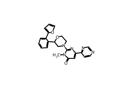 Cn1c(N2CCOC(c3ccccc3-c3ccco3)C2)nc(-c2ccncn2)cc1=O